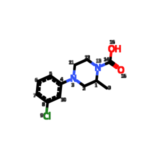 CC1CN(c2cccc(Cl)c2)CCN1C(=O)O